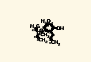 C=CCc1ccccc1O.C=COC=C.COC.O